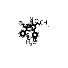 CCC(=O)c1cc(-c2ccc(SC)cc2)n(CC(C(=O)CC=O)c2ccccc2SC)c(=O)c1C#N